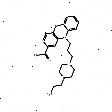 NCCN1CCN(CCCN2c3ccccc3Sc3ccc(C(N)=O)cc32)CC1